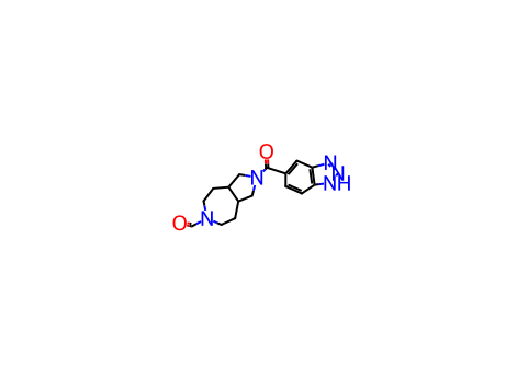 O=CN1CCC2CN(C(=O)c3ccc4[nH]nnc4c3)CC2CC1